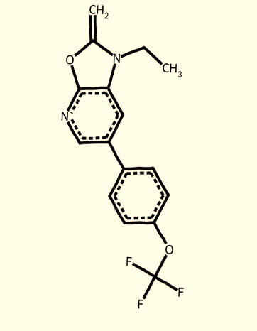 C=C1Oc2ncc(-c3ccc(OC(F)(F)F)cc3)cc2N1CC